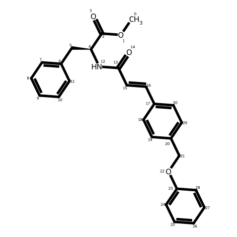 COC(=O)[C@H](Cc1ccccc1)NC(=O)C=Cc1ccc(COc2ccccc2)cc1